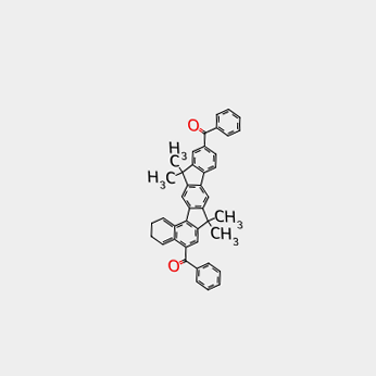 CC1(C)c2cc(C(=O)c3ccccc3)ccc2-c2cc3c(cc21)-c1c(cc(C(=O)c2ccccc2)c2c1=CCCC=2)C3(C)C